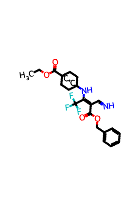 CCOC(=O)C12CCC(N/C(=C(\C=N)C(=O)OCc3ccccc3)C(F)(F)F)(CC1)CC2